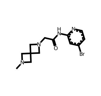 CN1CC2(C1)CN(CC(=O)Nc1cc(Br)ccn1)C2